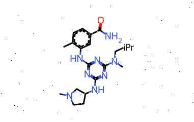 Cc1ccc(C(N)=O)cc1Nc1nc(NC2CCN(C)C2)nc(N(C)CC(C)C)n1